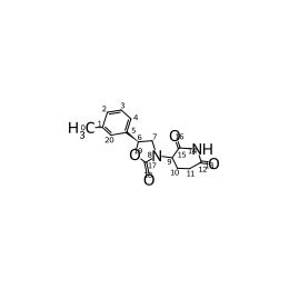 Cc1cccc([C@H]2CN(C3CCC(=O)NC3=O)C(=O)O2)c1